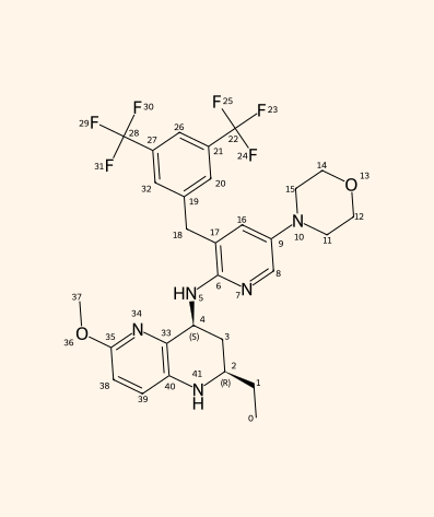 CC[C@@H]1C[C@H](Nc2ncc(N3CCOCC3)cc2Cc2cc(C(F)(F)F)cc(C(F)(F)F)c2)c2nc(OC)ccc2N1